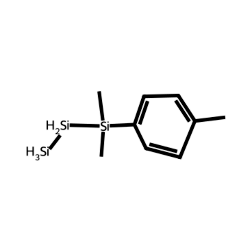 Cc1ccc([Si](C)(C)[SiH2][SiH3])cc1